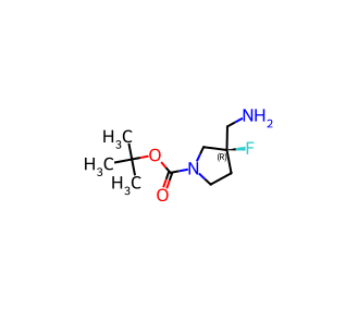 CC(C)(C)OC(=O)N1CC[C@@](F)(CN)C1